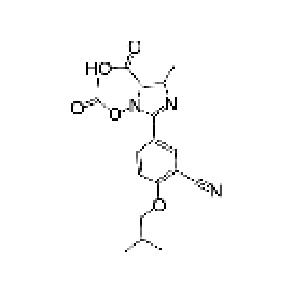 CC(=O)On1c(-c2ccc(OCC(C)C)c(C#N)c2)nc(C)c1C(=O)O